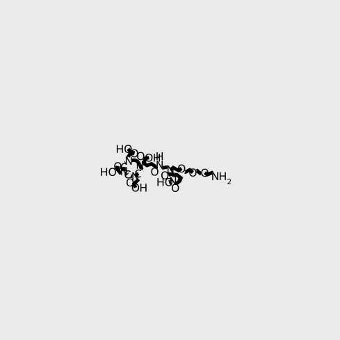 NCCOCCOCCOCCN(CCNC(=O)CCC(C(=O)O)N1CCN(CC(=O)O)CCN(CC(=O)O)CCN(CC(=O)O)CC1)C(=O)c1cccc(=O)n1O